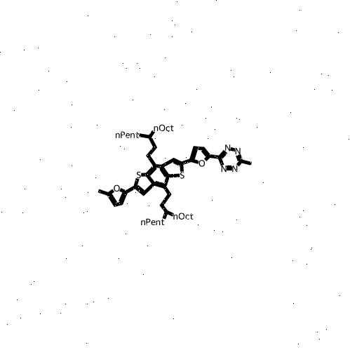 CCCCCCCCC(CCCCC)CCc1c2cc(-c3ccc(-c4nnc(C)nn4)o3)sc2c(CCC(CCCCC)CCCCCCCC)c2cc(-c3ccc(C)o3)sc12